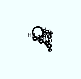 COc1ccc2c(O[C@@H]3C[C@@H](C(=O)N[C@]45C[C@H]4/C=C/CCCCCCNc4ccccc4S(=O)(=O)NC5=O)N(C(C)=O)C3)cc(-c3ccccc3)nc2c1